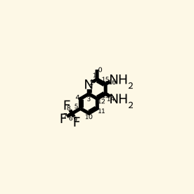 Cc1nc2cc(C(F)(F)F)ccc2c(N)c1N